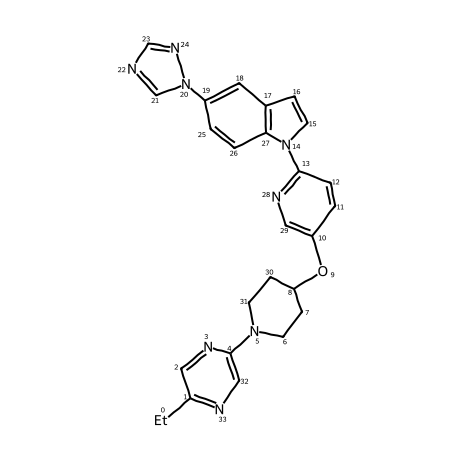 CCc1cnc(N2CCC(Oc3ccc(-n4ccc5cc(-n6cncn6)ccc54)nc3)CC2)cn1